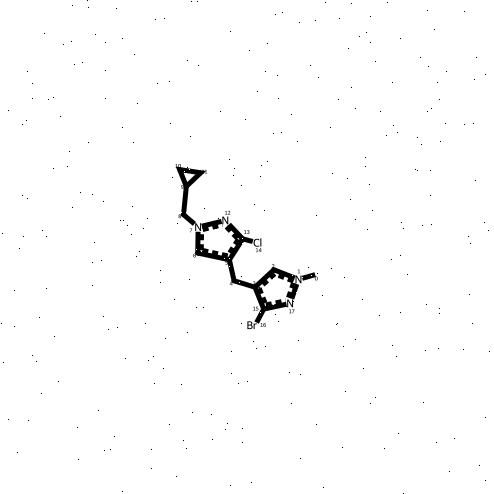 Cn1cc(Cc2cn(CC3CC3)nc2Cl)c(Br)n1